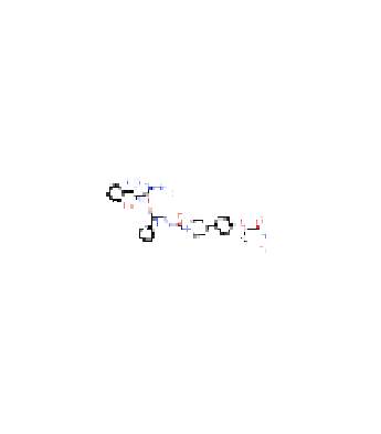 N=C(N)/C(=C\C(=N)c1ccccc1O)OCC(CNC(=O)CN1CCC(c2ccc(OC3CCC(=O)NC3=O)cc2)CC1)c1ccccc1